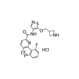 Cl.O=C(Nc1cnsc1OCC1CNC1)c1ccc(C(F)(F)F)c(-c2c(F)cccc2F)n1